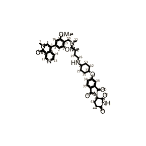 COc1cc(-c2cn(C)c(=O)c3cnccc23)cc(OC)c1CN(C)CCCCNC1CCC(Oc2ccc3c(c2)C(=O)N(C2CCC(=O)NC2=O)C3=O)CC1